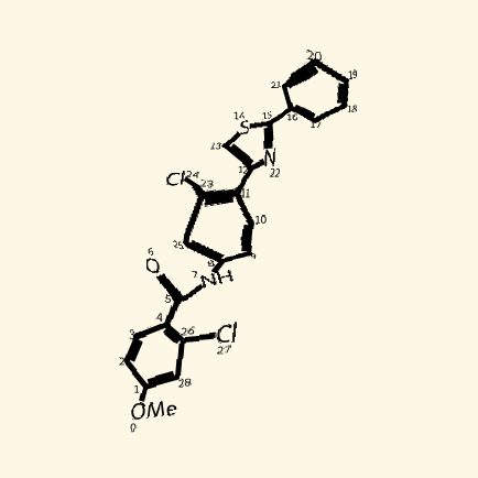 COc1ccc(C(=O)Nc2ccc(-c3csc(-c4ccccc4)n3)c(Cl)c2)c(Cl)c1